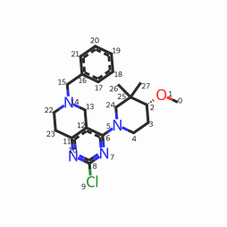 CO[C@@H]1CCN(c2nc(Cl)nc3c2CN(Cc2ccccc2)CC3)CC1(C)C